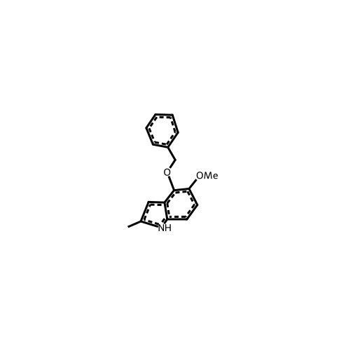 COc1ccc2[nH]c(C)cc2c1OCc1ccccc1